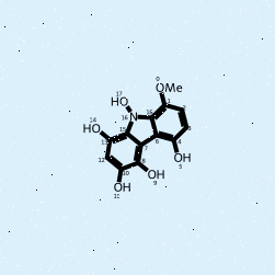 COc1ccc(O)c2c3c(O)c(O)cc(O)c3n(O)c12